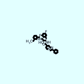 CCc1cccc(CNC[C@@H](O)[C@H](Cc2cc(F)cc(F)c2)NC(=O)c2ccn3cc(-c4ccccc4)nc3c2)c1